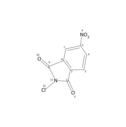 O=C1c2ccc([N+](=O)[O-])cc2C(=O)N1Cl